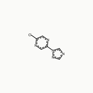 Clc1cnc(-n2cncn2)cn1